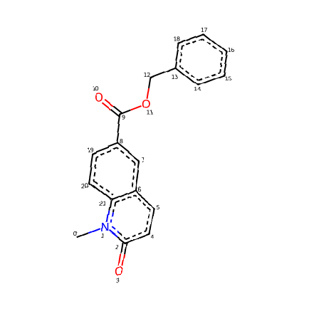 Cn1c(=O)ccc2cc(C(=O)OCc3ccccc3)ccc21